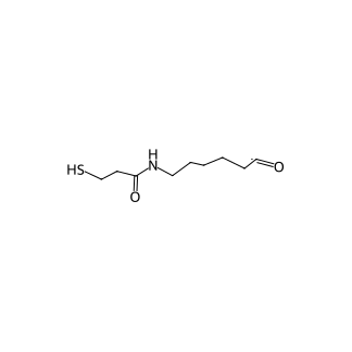 O=[C]CCCCCNC(=O)CCS